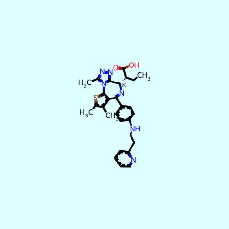 CCC(C(=O)O)[C@@H]1N=C(c2ccc(NCCc3ccccn3)cc2)c2c(sc(C)c2C)-n2c(C)nnc21